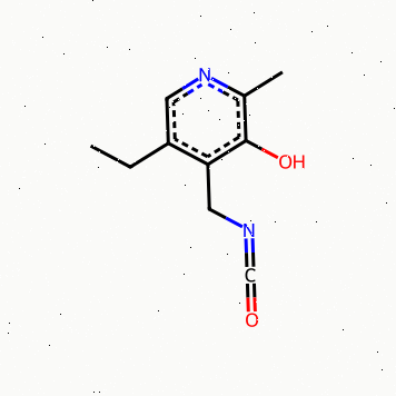 CCc1cnc(C)c(O)c1CN=C=O